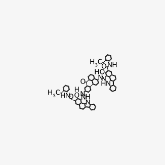 CCc1ccccc1NOCc1cc2ccc3c4ccccc4[nH]c3c2c(N=Nc2ccc3c(c2)C(=O)c2cccc4c(N=Nc5c(O)c(C(=O)Nc6ccccc6CC)cc6ccc7c8ccccc8[nH]c7c56)ccc-3c24)c1O